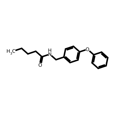 CCCCC(=O)NCc1ccc(Oc2ccccc2)cc1